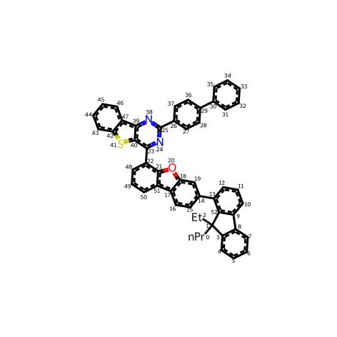 CCCC1(CC)c2ccccc2-c2cccc(-c3ccc4c(c3)oc3c(-c5nc(-c6ccc(-c7ccccc7)cc6)nc6c5sc5ccccc56)cccc34)c21